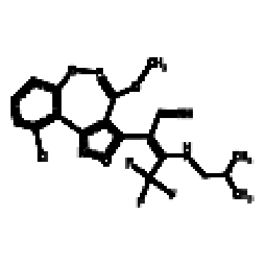 COC1=POc2cccc(Cl)c2-c2noc(/C(C=N)=C(/NCC(C)C)C(F)(F)F)c21